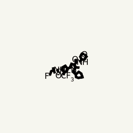 Cc1c(C(=O)NC2CCOCC2)cc(-c2ccc([S+]([O-])NC(C)(C)CCF)c(C(F)(F)F)c2)n1CC1CCCCC1